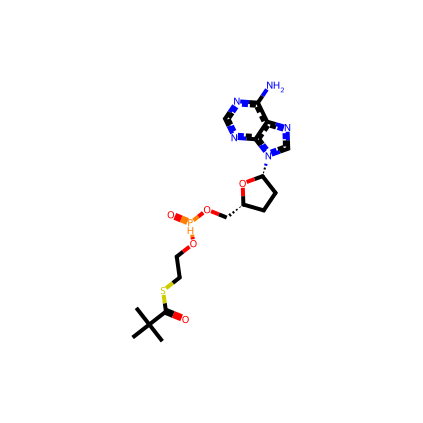 CC(C)(C)C(=O)SCCO[PH](=O)OC[C@H]1CC[C@@H](n2cnc3c(N)ncnc32)O1